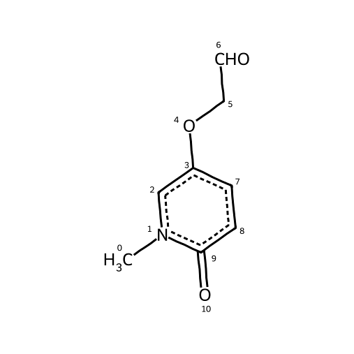 Cn1cc(OCC=O)ccc1=O